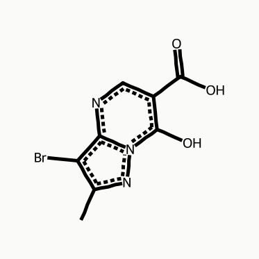 Cc1nn2c(O)c(C(=O)O)cnc2c1Br